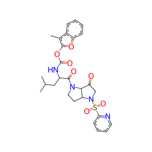 Cc1c(OC(=O)NC(CC(C)C)C(=O)N2CCC3C2C(=O)CN3S(=O)(=O)c2ccccn2)oc2ccccc12